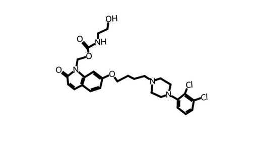 O=C(NCCO)OCn1c(=O)ccc2ccc(OCCCCN3CCN(c4cccc(Cl)c4Cl)CC3)cc21